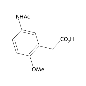 COc1ccc(NC(C)=O)cc1CC(=O)O